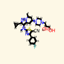 Cc1cc(N2CCN(C[C@H](O)CO)CC2)cc2c(N(C)c3nc(-c4ccc(F)cc4)c(C#N)s3)c(C3CC3)nn12